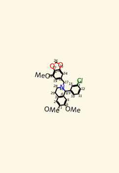 COc1cc2c(cc1OC)C(c1cccc(Cl)c1)N(Cc1cc(OC)c3c(c1)OCO3)CC2